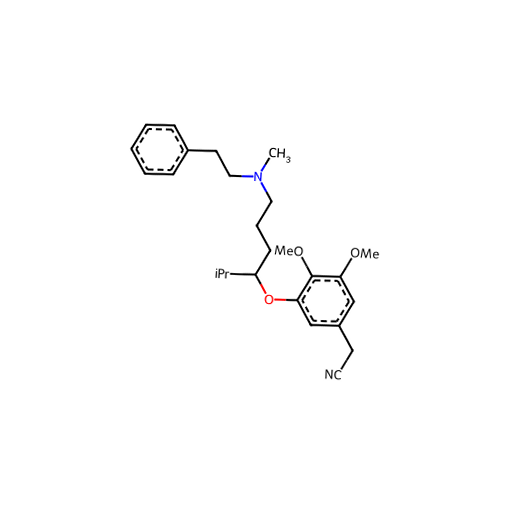 COc1cc(CC#N)cc(OC(CCCN(C)CCc2ccccc2)C(C)C)c1OC